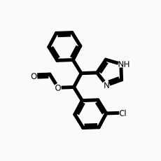 O=COC(c1cccc(Cl)c1)C(c1ccccc1)c1c[nH]cn1